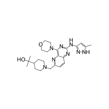 Cc1cc(Nc2nc(N3CCOCC3)c3nc(CN4CCC(C(C)(C)O)CC4)ccc3n2)n[nH]1